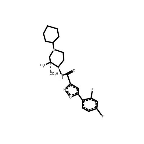 C[C@@]1(C(=O)O)CN(C2CCCCC2)CC[C@H]1NC(=O)c1cc(-c2ccc(F)cc2F)on1